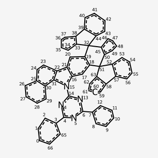 c1ccc(-c2nc(-c3ccccc3)nc(-n3c4cc5c(cc4c4ccc6ccccc6c43)C3(c4ccccc4-c4ccccc43)c3ccccc3C53c4ccccc4-c4ccccc43)n2)cc1